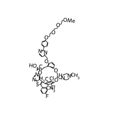 COCCOCCOCCOc1ccc(-c2nccc(COc3ccc4cc3C[C@H](C(=O)O)Oc3ncnc5sc(-c6ccc(F)cc6)c(c35)-c3c(C)c(Cl)c(c(Cl)c3C)O[C@H](CN3CCN(C)CC3)CO4)n2)cc1